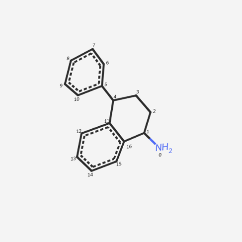 NC1CCC(c2ccccc2)c2ccccc21